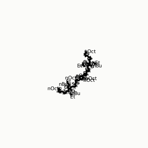 CCCCCCCCc1ccc(-c2ccc(C3=C4C(=O)N(CC(CC)CCCC)C(c5ccc(-c6cc7c(s6)-c6cc8c(cc6[Si]7(CCCCCCCC)CCCCCCCC)-c6sc(-c7ccc(C9=C%10C(=O)N(CC(CC)CCCC)C(c%11ccc(-c%12ccc(CCCCCCCC)s%12)s%11)=C%10C(=O)N9CC(CC)CCCC)s7)cc6[Si]8(CCCCCCCC)CCCCCCCC)s5)=C4C(=O)N3CC(CC)CCCC)s2)s1